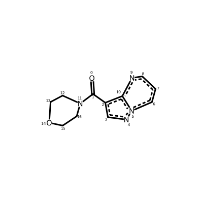 O=C(c1cnn2cccnc12)N1CCOCC1